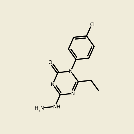 CCc1nc(NN)nc(=O)n1-c1ccc(Cl)cc1